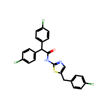 O=C(Nc1ncc(Cc2ccc(Cl)cc2)s1)C(c1ccc(Cl)cc1)c1ccc(Cl)cc1